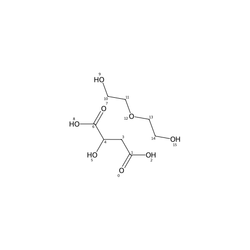 O=C(O)CC(O)C(=O)O.OCCOCCO